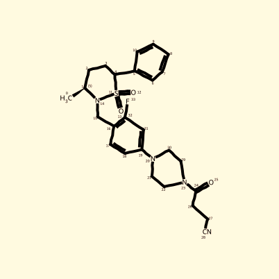 C[C@H]1CCC(c2ccccc2)S(=O)(=O)N1Cc1ccc(N2CCN(C(=O)CCC#N)CC2)cc1F